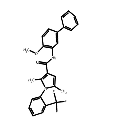 COc1ccc(-c2ccccc2)cc1NC(=O)c1cc(C)n(-c2ccccc2C(F)(F)F)c1C